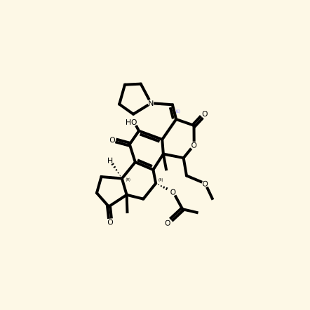 COCC1OC(=O)/C(=C/N2CCCC2)C2=C(O)C(=O)C3=C([C@H](OC(C)=O)CC4(C)C(=O)CC[C@@H]34)C21C